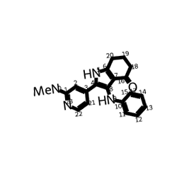 CNc1cc(-c2[nH]c3c(c2Nc2ccccc2)C(=O)CCC3)ccn1